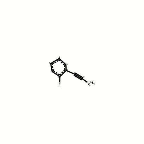 Fc1ccccc1C#C[SiH2]